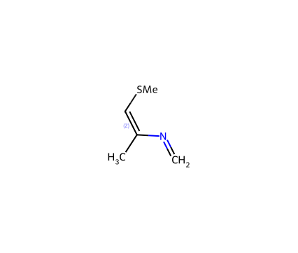 C=N/C(C)=C\SC